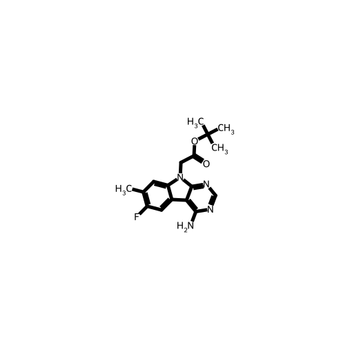 Cc1cc2c(cc1F)c1c(N)ncnc1n2CC(=O)OC(C)(C)C